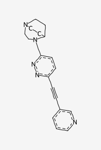 C(#Cc1ccc(N2CCN3CCC2CC3)nn1)c1cccnc1